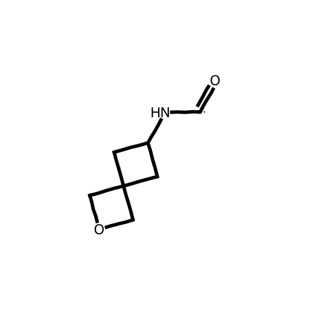 O=[C]NC1CC2(COC2)C1